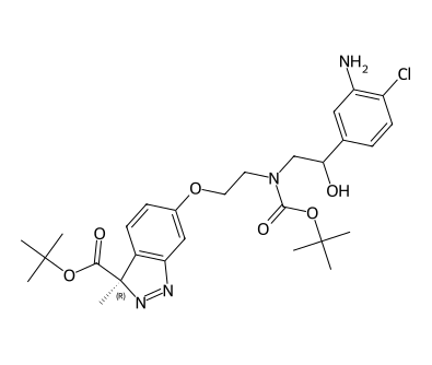 CC(C)(C)OC(=O)N(CCOc1ccc2c(c1)N=N[C@@]2(C)C(=O)OC(C)(C)C)CC(O)c1ccc(Cl)c(N)c1